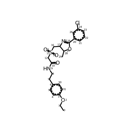 CCOc1ccc(CCNC(=O)CS(=O)(=O)CC2N=C(c3cccc(Cl)c3)OC2C)cc1